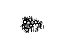 CCN(CCO)C(=O)c1ccc(-c2cnc3[nH]c4ccc(N(C)S(=O)(=O)c5cccs5)cc4c3c2-c2ccccc2)cc1